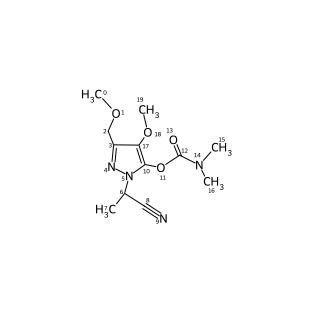 COCc1nn(C(C)C#N)c(OC(=O)N(C)C)c1OC